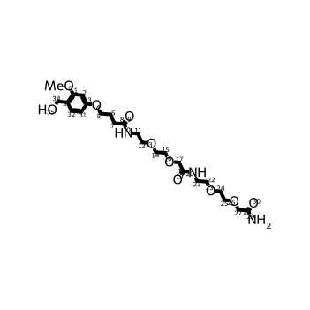 COc1cc(OCCCC(=O)NCCOCCOCC(=O)NCCOCCOCC(N)=O)ccc1CO